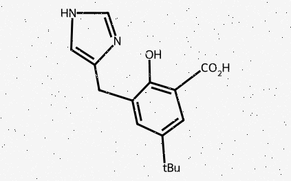 CC(C)(C)c1cc(Cc2c[nH]cn2)c(O)c(C(=O)O)c1